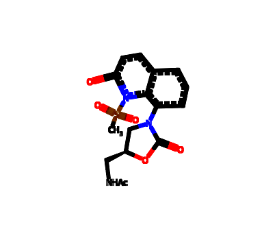 CC(=O)NC[C@H]1CN(c2cccc3ccc(=O)n(S(C)(=O)=O)c23)C(=O)O1